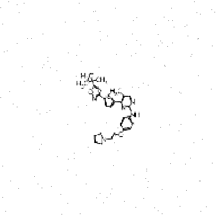 Cc1cnc(Nc2ccc(OCCN3CCCC3)cc2)nc1-c1ccc(-c2noc(C(C)(C)C)n2)s1